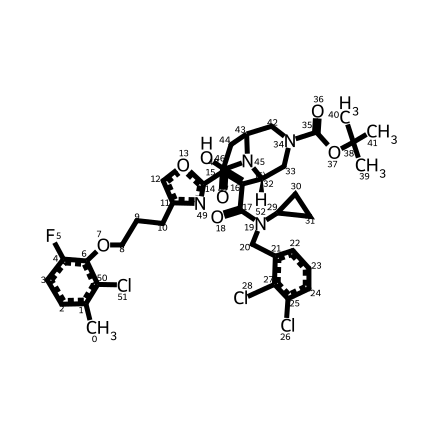 Cc1ccc(F)c(OCCCc2coc(C3=C(C(=O)N(Cc4cccc(Cl)c4Cl)C4CC4)[C@H]4CN(C(=O)OC(C)(C)C)CC(C3)N4C(=O)O)n2)c1Cl